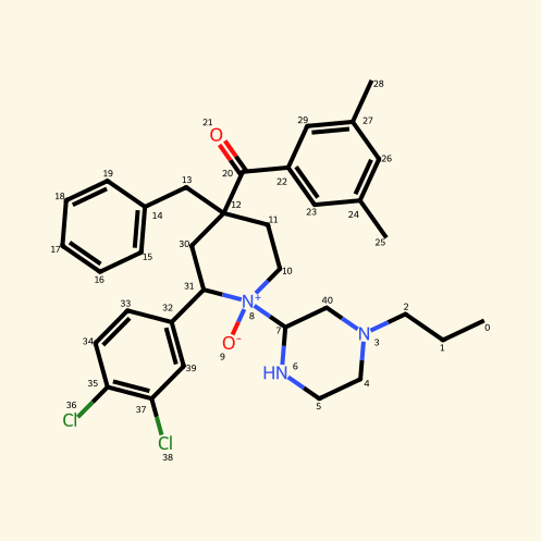 CCCN1CCNC([N+]2([O-])CCC(Cc3ccccc3)(C(=O)c3cc(C)cc(C)c3)CC2c2ccc(Cl)c(Cl)c2)C1